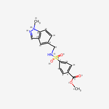 COC(=O)c1ccc(S(=O)(=O)NCc2ccc3c(cnn3C)c2)cc1